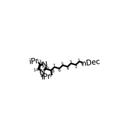 CCCCCCCCCCCCCCCCCC(C)c1nc(C(C)C)cn1C(C)C